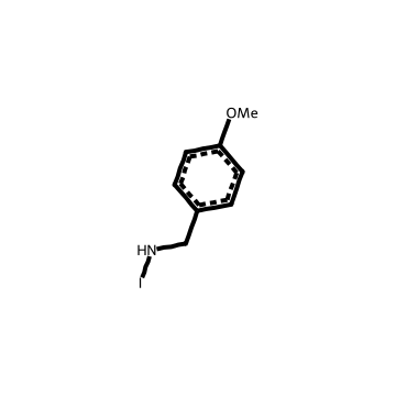 COc1ccc(CNI)cc1